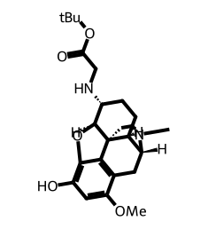 COc1cc(O)c2c3c1C[C@@H]1[C@@H]4CC[C@@H](NCC(=O)OC(C)(C)C)[C@H](O2)[C@]34CCN1C